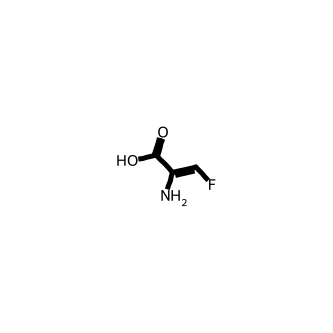 N/C(=C\F)C(=O)O